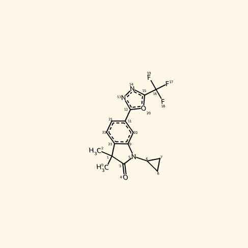 CC1(C)C(=O)N(C2CC2)c2cc(-c3nnc(C(F)(F)F)o3)ccc21